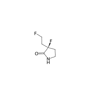 O=C1NCC[C@@]1(F)CCF